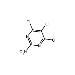 O=[N+]([O-])c1nc(Cl)c(Cl)c(Cl)n1